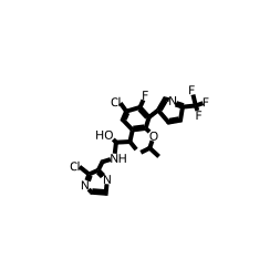 CC(C)Oc1c(C(C)C(O)NCc2nccnc2Cl)cc(Cl)c(F)c1-c1ccc(C(F)(F)F)nc1